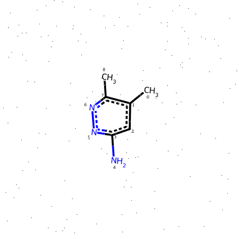 Cc1cc(N)nnc1C